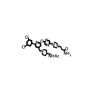 CC(=O)NCC1CCN(Cc2cc(Oc3cnc(N4CCN(CCC(N)=O)CC4)cn3)nc(-c3cc(Cl)cc(Cl)c3)c2)CC1